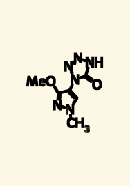 COc1nn(C)cc1-n1nn[nH]c1=O